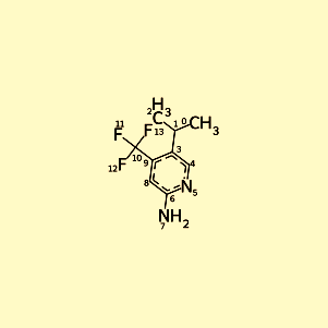 CC(C)c1cnc(N)cc1C(F)(F)F